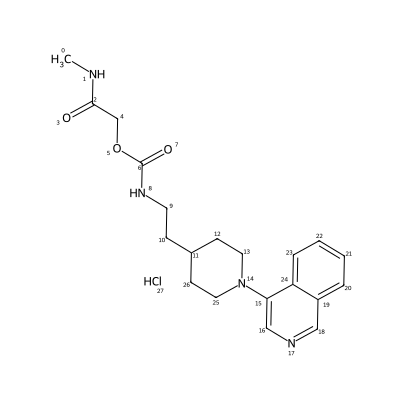 CNC(=O)COC(=O)NCCC1CCN(c2cncc3ccccc23)CC1.Cl